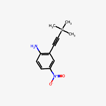 C[Si](C)(C)C#Cc1cc([N+](=O)[O-])ccc1N